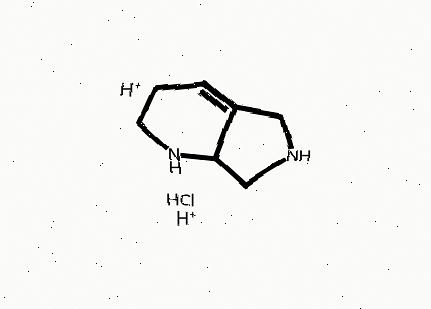 C1=C2CNCC2NCC1.Cl.[H+].[H+]